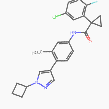 O=C(O)c1cc(NC(=O)C2(c3cc(Cl)ccc3F)CC2)ccc1-c1cnn(C2CCC2)c1